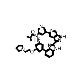 CC(C)C(=O)Nc1cncc(-c2cc3c(-c4nc5c(-c6cc(F)cc(OCCN7CCCC7)c6)cccc5[nH]4)n[nH]c3cn2)c1